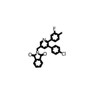 Cc1ccc(-c2ncc(CN3C(=O)c4ccccc4C3=O)cc2-c2ccc(Cl)cc2)cc1F